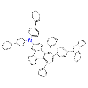 c1ccc(-c2ccc(N(c3ccc(-c4ccccc4)cc3)c3ccc4c(c3)c3ccccc3c3c(-c5ccccc5)cc(-c5ccc(-c6cc7ccccc7c7ccccc67)cc5)c(-c5ccccc5)c43)cc2)cc1